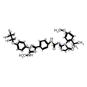 CNc1nc(-c2ccc(NC(=O)/N=C3\SCC(=O)N3c3cc(OC)ccc3C(C)C)cc2)nn1-c1ccc(OC(F)(F)C(F)(F)F)cc1